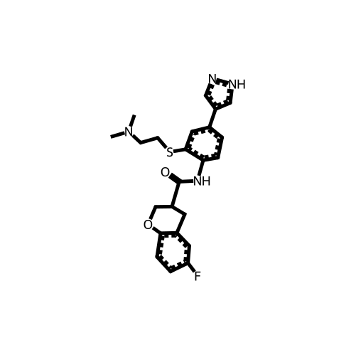 CN(C)CCSc1cc(-c2cn[nH]c2)ccc1NC(=O)C1COc2ccc(F)cc2C1